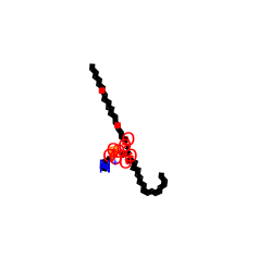 CC/C=C\C/C=C\C/C=C\CCCCCCCC(=O)O[C@H](COC(=O)CCCCCCCCCCCCCCCCCCCC)COP(=O)([O-])OCC[N+](C)(C)C